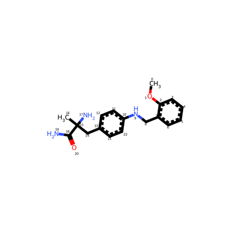 COc1ccccc1CNc1ccc(CC(C)(N)C(N)=O)cc1